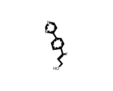 OCC=C(F)c1ccc(-c2ccncn2)cc1